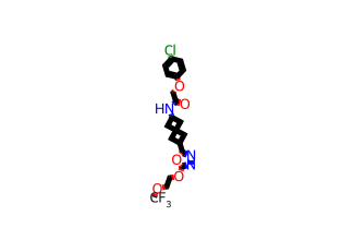 O=C(COc1ccc(Cl)cc1)NC1CC2(C1)CC(c1nnc(OCCOC(F)(F)F)o1)C2